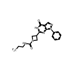 O=C(NCCC(F)(F)F)N1CC(c2nc3c(cnn3-c3ccccc3)c(=O)[nH]2)C1